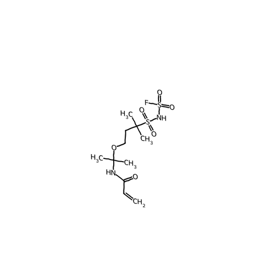 C=CC(=O)NC(C)(C)OCCC(C)(C)S(=O)(=O)NS(=O)(=O)F